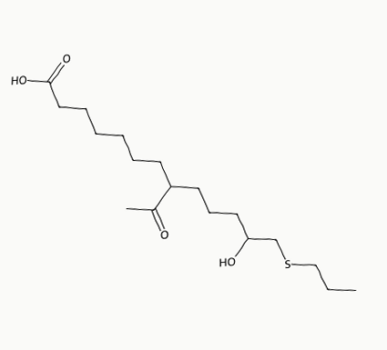 CCCSCC(O)CCCC(CCCCCCC(=O)O)C(C)=O